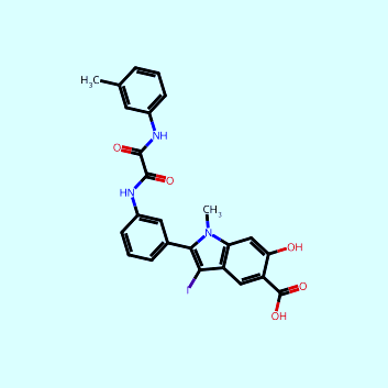 Cc1cccc(NC(=O)C(=O)Nc2cccc(-c3c(I)c4cc(C(=O)O)c(O)cc4n3C)c2)c1